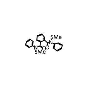 CSN(C(=O)c1ccccc1C(=O)N(SC)c1ccccc1)c1ccccc1